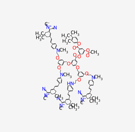 [C-]#[N+]/C(C#N)=C1C=C(/C=C/c2ccc(N(C)CCOc3cc(COc4cc(OCc5cc(OCCNc6ccc(/C=C/C7=CC(=C(\C#N)[N+]#[C-])/CC(C)(C)C7)cc6)cc(OCCN(C)c6ccc(/C=C/C7=CC(=C(\C#N)[N+]#[C-])/CC(C)(C)C7)cc6)c5)cc(C(=O)Oc5cc(OC(C)=O)cc(C(=O)Oc6ccc(C(C)C)c(C)c6)c5)c4)cc(OCCN(C)c4ccc(/C=C/C5=CC(=C(\C#N)[N+]#[C-])/CC(C)(C)C5)cc4)c3)cc2)CC(C)C/1